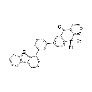 CCC1(CC)c2ccccc2C(=O)c2cc(-c3cccc(-c4cccc5c4sc4ccccc45)c3)ccc21